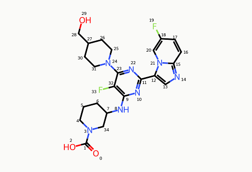 O=C(O)N1CCCC(Nc2nc(-c3cnc4ccc(F)cn34)nc(N3CCC(CO)CC3)c2F)C1